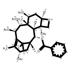 CC(=O)O[C@H]1C[C@H]2[C@@H](OC(=O)c3ccccc3)[C@@H]3[C@]4(OC(C)=O)CO[C@@H]4C[C@H](OC(C)=O)[C@@]3(C)[C@@H](OC(C)=O)[C@H](OC(C)=O)C(=C1C)C2(C)C